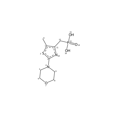 Cc1sc(N2CCOCC2)nc1CP(=O)(O)O